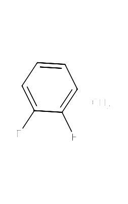 C.Fc1ccccc1F